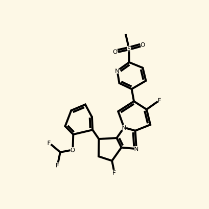 CS(=O)(=O)c1ccc(-c2cn3c4c(nc3cc2F)C(F)CC4c2ccccc2OC(F)F)cn1